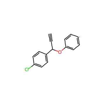 C#CC(Oc1cc[c]cc1)c1ccc(Cl)cc1